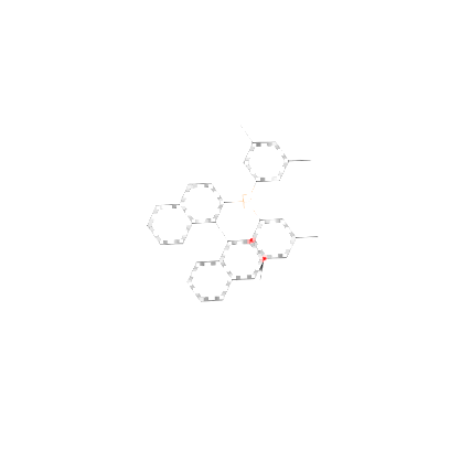 Cc1cc(C)cc(P(c2cc(C)cc(C)c2)c2ccc3ccccc3c2-c2cccc3ccccc23)c1